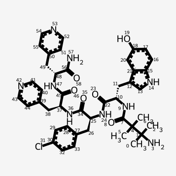 CC(C)(N)C(C)(C)C(=O)N[C@@H](Cc1c[nH]c2ccc(O)cc12)C(=O)N[C@@H](Cc1ccc(Cl)cc1)C(=O)N[C@@H](Cc1ccncc1)C(=O)N[C@H](Cc1ccncc1)C(N)=O